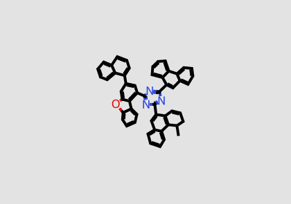 CC1CC=Cc2c(-c3nc(-c4cc5ccccc5c5ccccc45)nc(-c4cc(-c5cccc6ccccc56)cc5oc6ccccc6c45)n3)cc3ccccc3c21